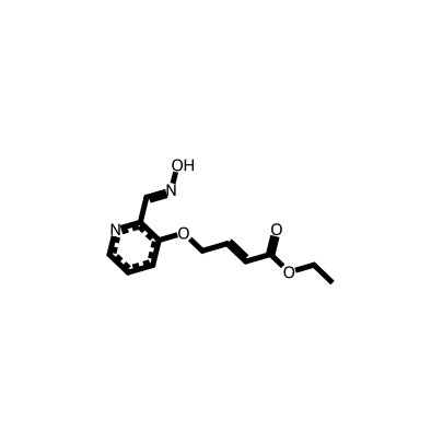 CCOC(=O)C=CCOc1cccnc1C=NO